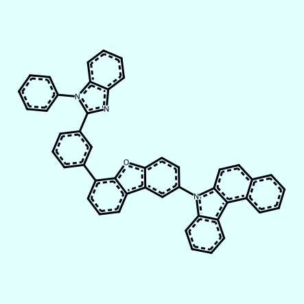 c1ccc(-n2c(-c3cccc(-c4cccc5c4oc4ccc(-n6c7ccccc7c7c8ccccc8ccc76)cc45)c3)nc3ccccc32)cc1